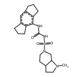 CN1CCC2CCN(S(=O)(=O)NC(=O)Nc3c4c(cc5c3CCC5)CCC4)CC21